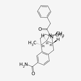 CN1CC[C@]2(C)c3cc(C(N)=O)ccc3C[C@@H]1[C@@H]2N(C)C(=O)Cc1ccccc1